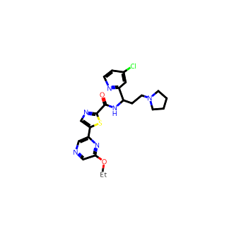 CCOc1cncc(-c2cnc(C(=O)NC(CCN3CCCC3)c3cc(Cl)ccn3)s2)n1